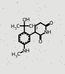 CNc1ccc(C(C)(C)O)c(C2CCC(=O)NC2=O)c1